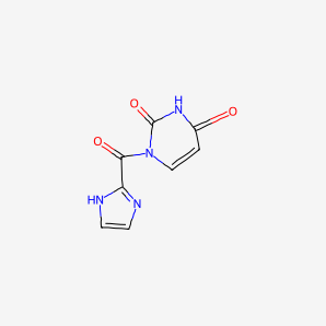 O=C(c1ncc[nH]1)n1ccc(=O)[nH]c1=O